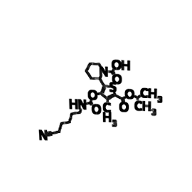 Cc1c(C(=O)OC(C)C)sc(C2CCCCN2C(=O)O)c1OC(=O)NCCCCCC#N